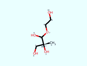 C[C@@](O)(CO)C(O)OCCO